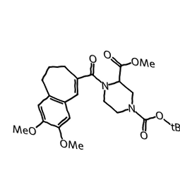 COC(=O)C1CN(C(=O)OC(C)(C)C)CCN1C(=O)C1=Cc2cc(OC)c(OC)cc2CCC1